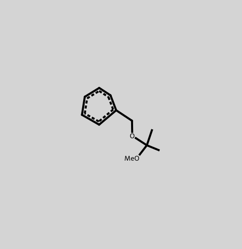 COC(C)(C)OCc1ccccc1